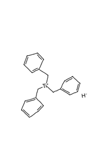 [H-].c1ccc([CH2][Ti+]([CH2]c2ccccc2)[CH2]c2ccccc2)cc1